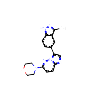 Cc1n[nH]c2ccc(-c3cnc4ccc(N5CCOCC5)nn34)cc12